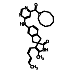 CC=C/C=C\C1=C(C)NC(=O)C12Cc1ccc(Nc3cc(C(=O)N4CCCCCCCC4)ncn3)cc1C2